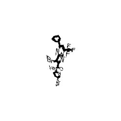 O=C(Nc1ccc(Br)cn1)c1nn2c(C(F)(F)F)cc(-c3ccccc3)nc2c1Br